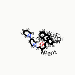 CCCCCC1CC(C23C[C@@H]4[C@H](C)CC[C@H]4C4(C=O)CC2C=C(C(C)C)C34C(=O)O)OC1CN1CCC(N2CCCCC2)CC1